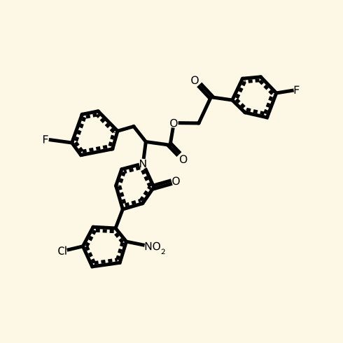 O=C(COC(=O)C(Cc1ccc(F)cc1)n1ccc(-c2cc(Cl)ccc2[N+](=O)[O-])cc1=O)c1ccc(F)cc1